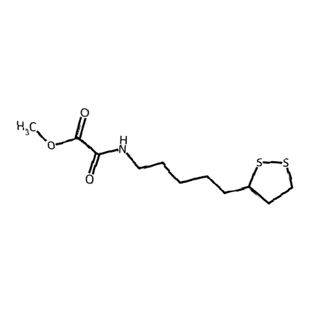 COC(=O)C(=O)NCCCCCC1CCSS1